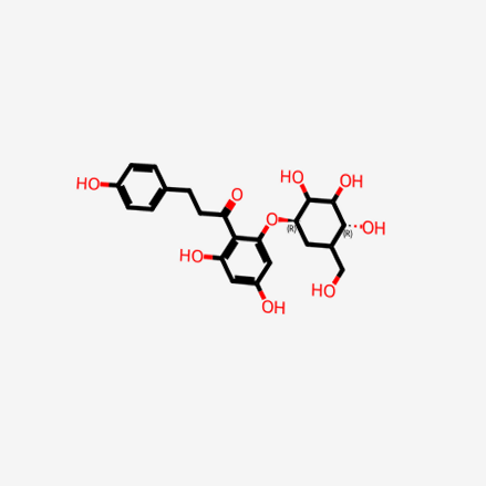 O=C(CCc1ccc(O)cc1)c1c(O)cc(O)cc1O[C@@H]1CC(CO)[C@@H](O)C(O)C1O